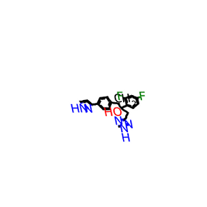 C=C(c1ccc(-c2cc[nH]n2)cc1)C(O)(Cc1nc[nH]n1)c1ccc(F)cc1F